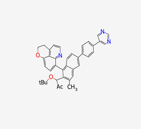 CC(=O)C(OC(C)(C)C)c1c(C)cc2cc(-c3ccc(-c4cncnc4)cc3)ccc2c1-c1ccc2c3c(ccnc13)CCO2